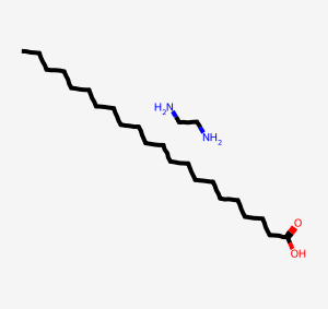 CCCCCCCCCCCCCCCCCCCCCC(=O)O.NCCN